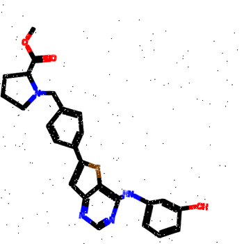 COC(=O)C1CCCN1Cc1ccc(-c2cc3ncnc(Nc4cccc(O)c4)c3s2)cc1